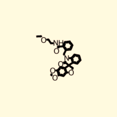 CCOCCNC(=O)c1ccccc1CN1C(=O)C2(COc3cc4c(cc32)OCO4)c2ccccc21